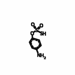 Nc1ccc(OS(=O)(=O)S)cc1